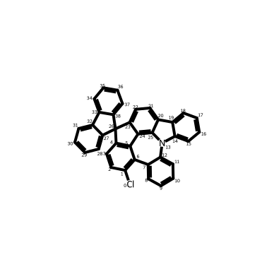 Clc1ccc2c3c1-c1ccccc1-n1c4ccccc4c4ccc(c-3c41)C21c2ccccc2-c2ccccc21